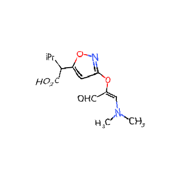 CC(C)C(C(=O)O)c1cc(O/C(C=O)=C/N(C)C)no1